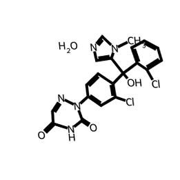 Cn1cncc1C(O)(c1ccccc1Cl)c1ccc(-n2ncc(=O)[nH]c2=O)cc1Cl.O